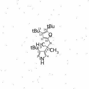 CC(C)(C)c1c[nH]cc1C(C)(C)Cc1cc(C(C)(C)C)c(C(C)(C)C)o1